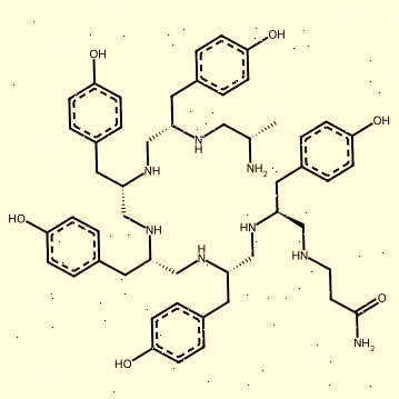 C[C@H](N)CN[C@H](CN[C@H](CN[C@H](CN[C@H](CN[C@H](CNCCC(N)=O)Cc1ccc(O)cc1)Cc1ccc(O)cc1)Cc1ccc(O)cc1)Cc1ccc(O)cc1)Cc1ccc(O)cc1